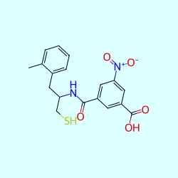 Cc1ccccc1CC(CS)NC(=O)c1cc(C(=O)O)cc([N+](=O)[O-])c1